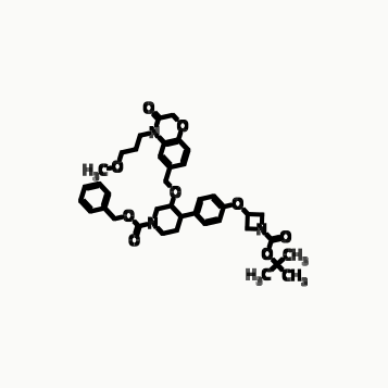 COCCCN1C(=O)COc2ccc(COC3CN(C(=O)OCc4ccccc4)CCC3c3ccc(OC4CN(C(=O)OC(C)(C)C)C4)cc3)cc21